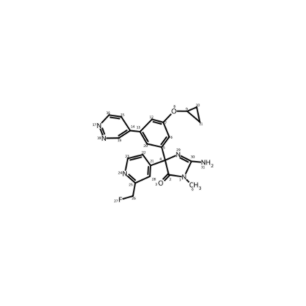 CN1C(=O)C(c2cc(OC3CC3)cc(-c3ccnnc3)c2)(c2ccnc(CF)c2)N=C1N